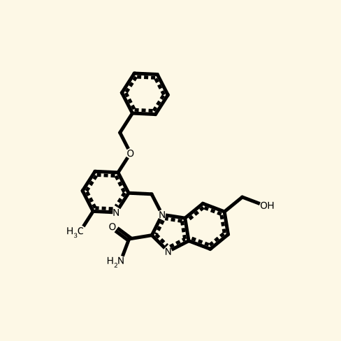 Cc1ccc(OCc2ccccc2)c(Cn2c(C(N)=O)nc3ccc(CO)cc32)n1